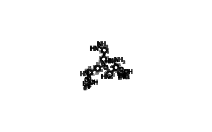 Cl.Cl.N=C(N)c1cccc(C2CCN(C(=O)c3ccc(-c4cc[nH]c(=O)c4)cc3)CC2)c1.N=C(N)c1cccc(C2CCNCC2)c1.O=C(O)C(F)(F)F.O=C(O)C(F)(F)F